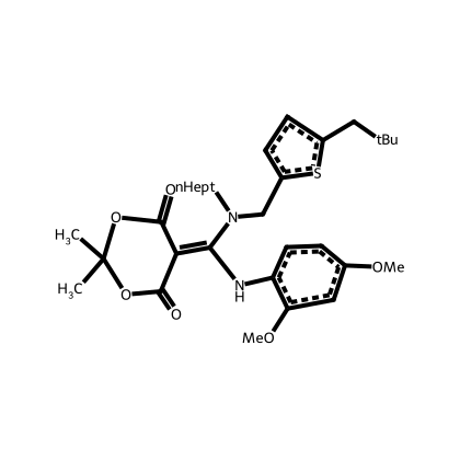 CCCCCCCN(Cc1ccc(CC(C)(C)C)s1)C(Nc1ccc(OC)cc1OC)=C1C(=O)OC(C)(C)OC1=O